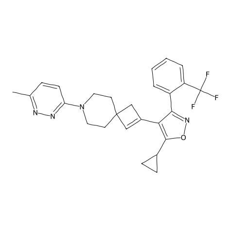 Cc1ccc(N2CCC3(C=C(c4c(-c5ccccc5C(F)(F)F)noc4C4CC4)C3)CC2)nn1